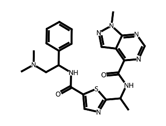 CC(NC(=O)c1ncnc2c1cnn2C)c1ncc(C(=O)NC(CN(C)C)c2ccccc2)s1